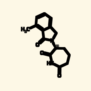 Cc1cccc2c1C(=O)N([C@H]1CCCC(=O)NC1=O)C2